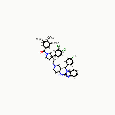 COc1cc(C(=O)N2CC[C@@](CCN3CCC(Nc4nc5ccccc5n4Cc4ccc(F)cc4)CC3)(c3ccc(Cl)c(Cl)c3)C2)cc(OC)c1OC